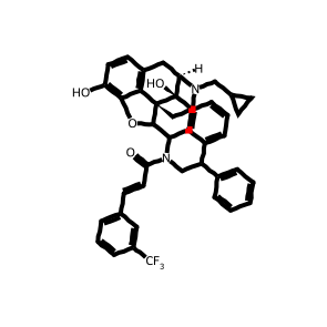 O=C(/C=C/c1cccc(C(F)(F)F)c1)N(CC(c1ccccc1)c1ccccc1)C1CC[C@@]2(O)[C@H]3Cc4ccc(O)c5c4[C@@]2(CCN3CC2CC2)C1O5